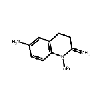 C=C1CCc2cc(N)ccc2N1CCC